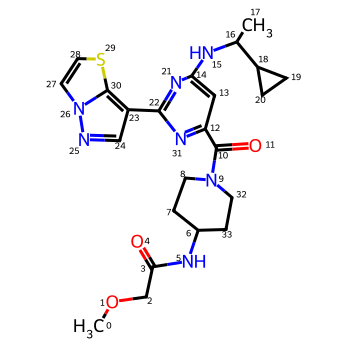 COCC(=O)NC1CCN(C(=O)c2cc(NC(C)C3CC3)nc(-c3cnn4ccsc34)n2)CC1